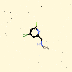 CNCc1cc(Cl)cc(F)n1